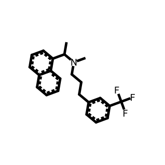 CC(c1cccc2ccccc12)N(C)CCCc1cccc(C(F)(F)F)c1